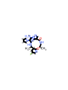 C[C@H]1CNC(=O)c2cnn3c(N)c(-n4cccc4)c(nc23)N[C@H](C)c2cc(F)cnc2O1